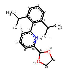 CC(C)c1cccc(C(C)C)c1-c1cccc(C2OCCO2)n1